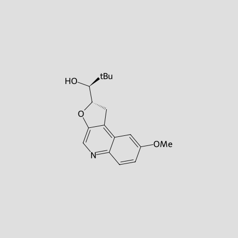 COc1ccc2ncc3c(c2c1)C[C@@H]([C@@H](O)C(C)(C)C)O3